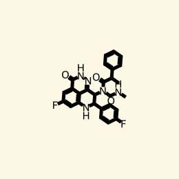 CNC(=O)N(C(=O)C(C)c1ccccc1)C1c2n[nH]c(=O)c3cc(F)cc(c23)NC1c1ccc(F)cc1